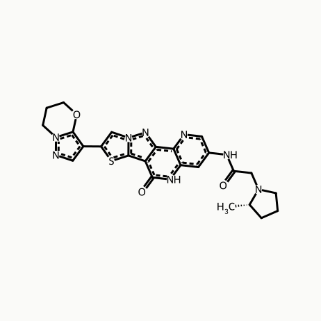 C[C@H]1CCCN1CC(=O)Nc1cnc2c(c1)[nH]c(=O)c1c2nn2cc(-c3cnn4c3OCCC4)sc12